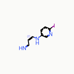 N=C/C=C\Nc1ccc(I)nc1